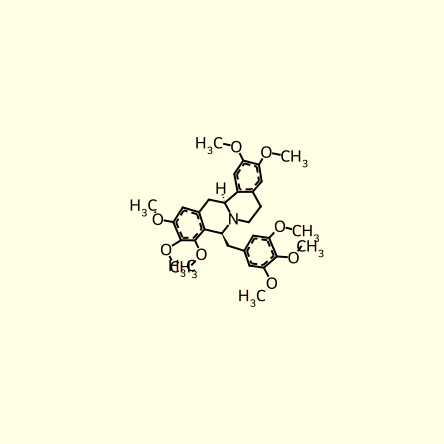 COc1cc2c(cc1OC)[C@@H]1Cc3cc(OC)c(OC)c(OC)c3[C@H](Cc3cc(OC)c(OC)c(OC)c3)N1CC2